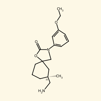 CCOc1cccc(N2CC3(CCC[C@](C)(CN)C3)OC2=O)c1